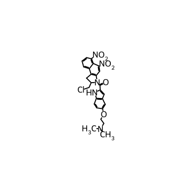 CN(C)CCOc1ccc2[nH]c(C(=O)N3c4cc([N+](=O)[O-])c5c([N+](=O)[O-])cccc5c4CC3CCl)cc2c1